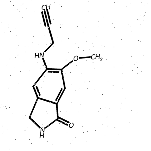 C#CCNc1cc2c(cc1OC)C(=O)NC2